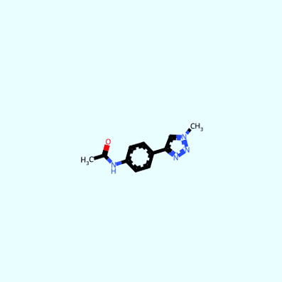 CC(=O)Nc1ccc(-c2[c]n(C)nn2)cc1